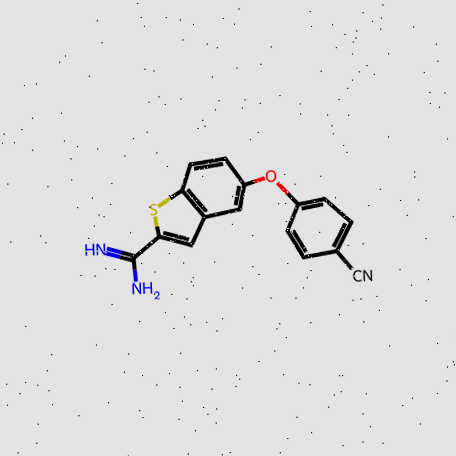 N#Cc1ccc(Oc2ccc3sc(C(=N)N)cc3c2)cc1